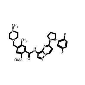 COc1cc(CN2CCN(C)CC2)c(C)cc1C(=O)Nc1cnn2ccc(N3CCC[C@@H]3c3cc(F)ccc3F)nc12